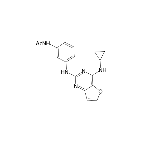 CC(=O)Nc1cccc(Nc2nc(NC3CC3)c3occc3n2)c1